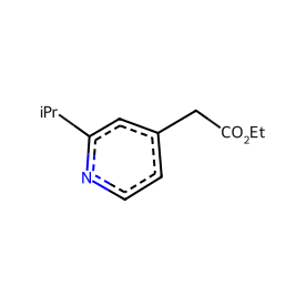 CCOC(=O)Cc1ccnc(C(C)C)c1